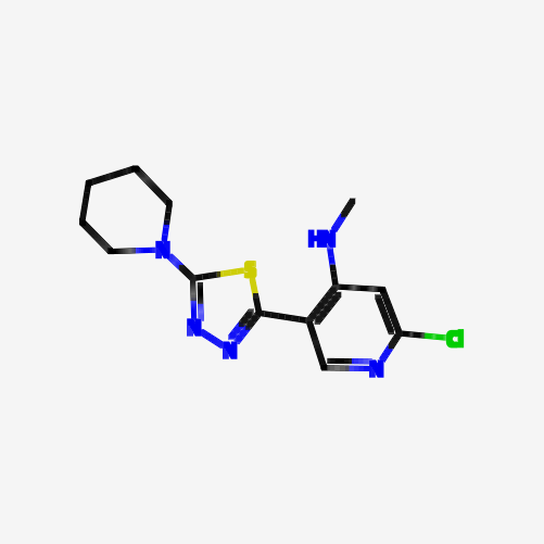 CNc1cc(Cl)ncc1-c1nnc(N2CCCCC2)s1